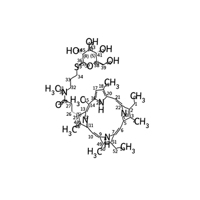 CCC1=C(C)c2cc3[nH]c(cc4nc(c(C)c5cc(C)c(cc1n2)[nH]5)[C@@H](CCC(=O)N(C)CCCS[C@@H]1O[C@H](CO)[C@@H](O)[C@H](O)[C@H]1O)[C@@H]4C)c(C)c3CC